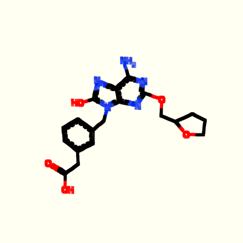 Nc1nc(OCC2CCCO2)nc2c1nc(O)n2Cc1cccc(CC(=O)O)c1